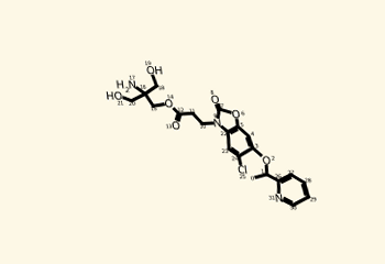 CC(Oc1cc2oc(=O)n(CCC(=O)OCC(N)(CO)CO)c2cc1Cl)c1ccccn1